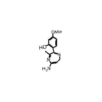 COc1ccc(C2=NCC=C(N)N=C2C)c(O)c1